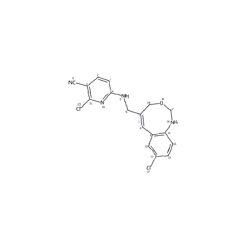 N#Cc1ccc(NC/C2=C/c3cc(Cl)ccc3NCOC2)nc1Cl